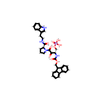 O=C(N[C@@H](COP(=O)(O)O)C(=O)C(=O)N1CCC[C@H]1C(=O)NCCc1c[nH]c2ccccc12)OCC1c2ccccc2-c2ccccc21